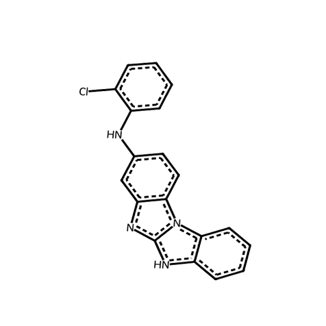 Clc1ccccc1Nc1ccc2c(c1)nc1[nH]c3ccccc3n12